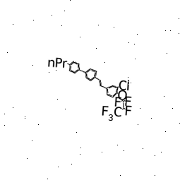 CCCc1ccc(-c2ccc(C=Cc3ccc(OC(F)(F)C(F)C(F)(F)F)c(Cl)c3)cc2)cc1